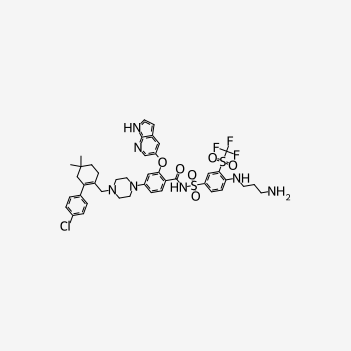 CC1(C)CCC(CN2CCN(c3ccc(C(=O)NS(=O)(=O)c4ccc(NCCCN)c(S(=O)(=O)C(F)(F)F)c4)c(Oc4cnc5[nH]ccc5c4)c3)CC2)=C(c2ccc(Cl)cc2)C1